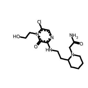 NC(=O)CN1CCCCC1CCNc1ncc(Cl)n(CCO)c1=O